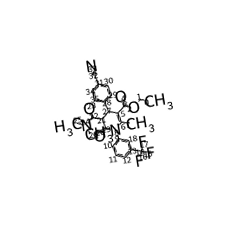 CCOC(=O)C1=C(C)N(c2cccc(C(F)(F)F)c2)C(=O)C(C(=O)N(C)C)C1c1ccc(C#N)cc1